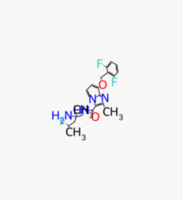 Cc1nc2c(OCc3c(F)cccc3F)cccn2c1C(=O)NCC(C)(N)CC(C)F